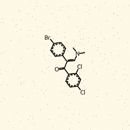 CN(C)C=C(C(=O)c1ccc(Cl)cc1Cl)c1ccc(Br)cc1